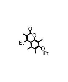 CCc1c(C)c(=O)oc2c(C)c(OC(C)C)c(C)c(C)c12